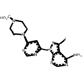 Nc1ncnc2c1c(I)nn2-c1cc(N2CCN(C(=O)O)CC2)ncn1